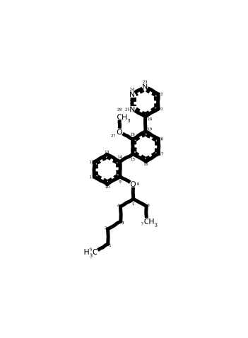 CCCCCC(CC)Oc1ccccc1-c1cccc(-c2ccnnn2)c1OC